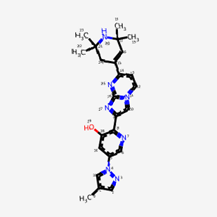 Cc1cnn(-c2cnc(-c3cn4ccc(C5=CC(C)(C)NC(C)(C)C5)nc4n3)c(O)c2)c1